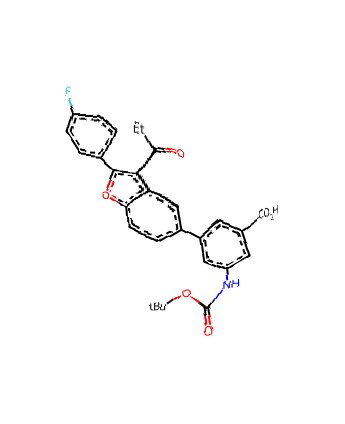 CCC(=O)c1c(-c2ccc(F)cc2)oc2ccc(-c3cc(NC(=O)OC(C)(C)C)cc(C(=O)O)c3)cc12